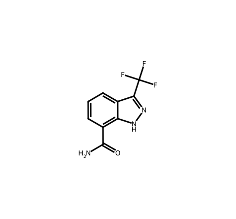 NC(=O)c1cccc2c(C(F)(F)F)n[nH]c12